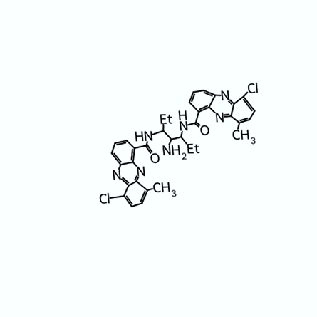 CCC(NC(=O)c1cccc2nc3c(Cl)ccc(C)c3nc12)C(N)C(CC)NC(=O)c1cccc2nc3c(Cl)ccc(C)c3nc12